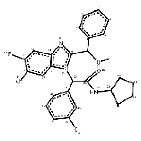 COC(c1ccccc1)c1nc2cc(F)c(Cl)cc2n1C(C(=O)NC1CCCC1)c1cccc(Cl)c1